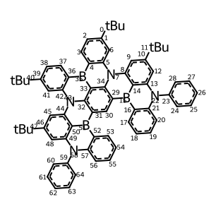 CC(C)(C)c1ccc2c(c1)N1c3cc(C(C)(C)C)cc4c3B(c3ccccc3N4c3ccccc3)c3cc4c5c(c31)B2c1ccc(C(C)(C)C)cc1N5c1cc(C(C)(C)C)cc2c1B4c1ccccc1N2c1ccccc1